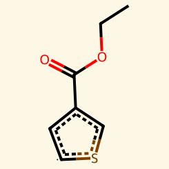 CCOC(=O)c1c[c]sc1